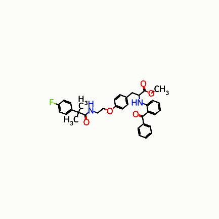 COC(=O)C(Cc1ccc(OCCNC(=O)C(C)(C)c2ccc(F)cc2)cc1)Nc1ccccc1C(=O)c1ccccc1